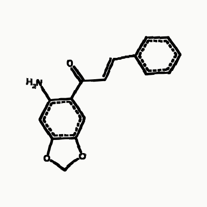 Nc1cc2c(cc1C(=O)/C=C/c1ccccc1)OCO2